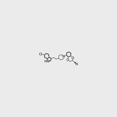 N#CC1COc2c(cccc2N2CCC(CCc3c[nH]c4cc(Cl)ccc34)CC2)O1